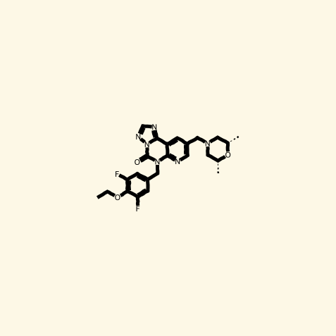 CCOc1c(F)cc(Cn2c(=O)n3ncnc3c3cc(CN4C[C@@H](C)O[C@@H](C)C4)cnc32)cc1F